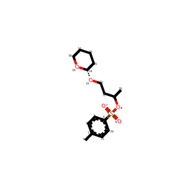 Cc1ccc(S(=O)(=O)OC(C)CCO[C@H]2CCCCO2)cc1